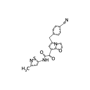 Cc1cc(NC(=O)C(=O)c2cc(Cc3ccc(C#N)cc3)n3ccoc23)sn1